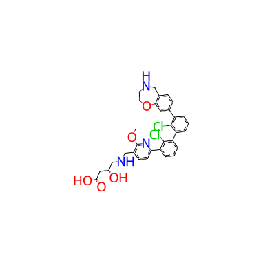 COc1nc(-c2cccc(-c3cccc(-c4ccc5c(c4)OCCNC5)c3Cl)c2Cl)ccc1CNC[C@@H](O)CC(=O)O